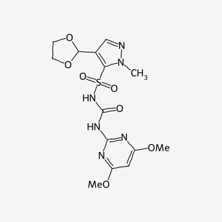 COc1cc(OC)nc(NC(=O)NS(=O)(=O)c2c(C3OCCO3)cnn2C)n1